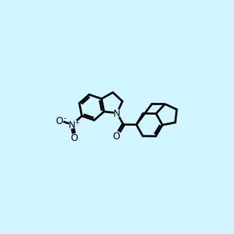 O=C(N1CCc2ccc([N+](=O)[O-])cc21)C12CC=C3CCC(C1)C3C2